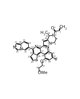 C=CC(=O)N1CCn2nc(-c3nc(-c4ccc5cncn5c4)c4ccsc4c3-c3c(F)cc(F)cc3OCCOC)cc2[C@H]1C